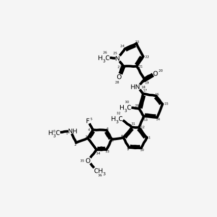 CNCc1c(F)cc(-c2cccc(-c3cccc(NC(=O)c4cccn(C)c4=O)c3C)c2C)cc1OC